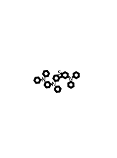 c1ccc(N(c2ccccc2)c2cccc(N(c3ccccc3)c3ccc4sc5ccc(N(c6ccccc6)c6ccccc6)cc5c4c3)c2)cc1